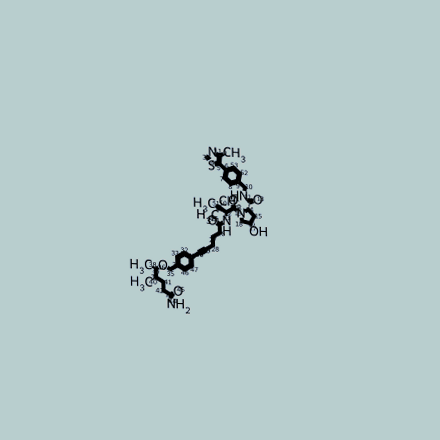 Cc1ncsc1-c1ccc(CNC(=O)[C@@H]2C[C@@H](O)CN2C(=O)[C@@H](NC(=O)CCCC#Cc2ccc(CO[C@H](C)[C@@H](C)CCC(N)=O)cc2)C(C)(C)C)cc1